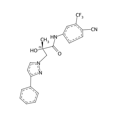 C[C@](O)(Cn1ccc(-c2ccccc2)n1)C(=O)Nc1ccc(C#N)c(C(F)(F)F)c1